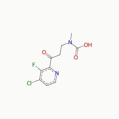 CN(CCC(=O)c1nccc(Cl)c1F)C(=O)O